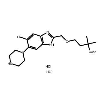 COC(C)(C)CCOCc1nc2cc(Cl)c(N3CCNCC3)cc2[nH]1.Cl.Cl